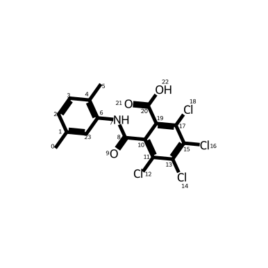 Cc1ccc(C)c(NC(=O)c2c(Cl)c(Cl)c(Cl)c(Cl)c2C(=O)O)c1